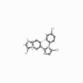 Fc1ccc(-n2c(Cl)cnc2-c2ccc3ncc(I)n3c2)cc1